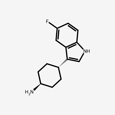 N[C@H]1CC[C@H](c2c[nH]c3ccc(F)cc32)CC1